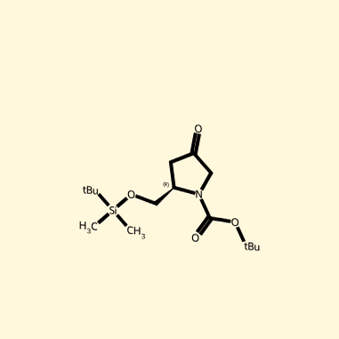 CC(C)(C)OC(=O)N1CC(=O)C[C@@H]1CO[Si](C)(C)C(C)(C)C